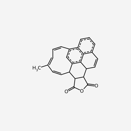 CC1=C\C=C/c2cc3c4c5c(cccc25)C=CC4C2C(=O)OC(=O)C2C3/C=C\1